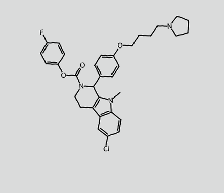 Cn1c2c(c3cc(Cl)ccc31)CCN(C(=O)Oc1ccc(F)cc1)C2c1ccc(OCCCCN2CCCC2)cc1